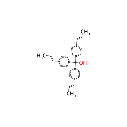 CC=Cc1ccc(C(O)(c2ccc(C=CC)cc2)c2ccc(C=CC)cc2)cc1